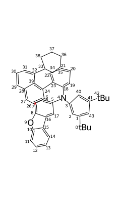 CC(C)(C)c1cc(N(c2ccc3oc4ccccc4c3c2)c2ccccc2-c2cccc3cccc(C4CCCCC4)c23)cc(C(C)(C)C)c1